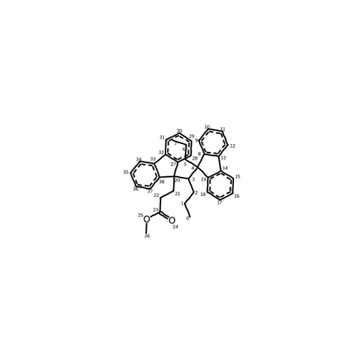 CCCC(C1(CCC)c2ccccc2-c2ccccc21)C1(CCC(=O)OC)c2ccccc2-c2ccccc21